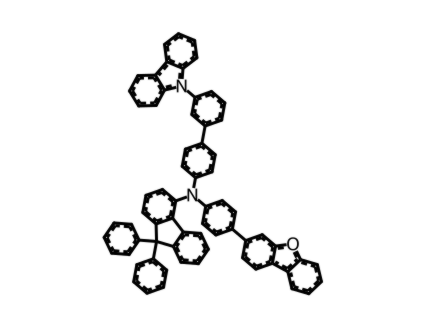 c1ccc(C2(c3ccccc3)c3ccccc3-c3c(N(c4ccc(-c5cccc(-n6c7ccccc7c7ccccc76)c5)cc4)c4ccc(-c5ccc6c(c5)oc5ccccc56)cc4)cccc32)cc1